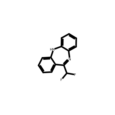 FC(F)C1=Nc2ccccc2Nc2ccccc21